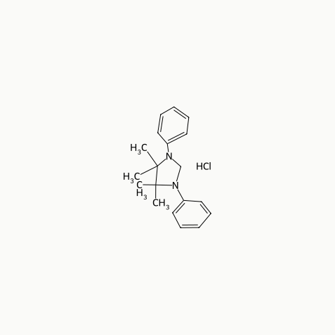 CC1(C)N(c2ccccc2)CN(c2ccccc2)C1(C)C.Cl